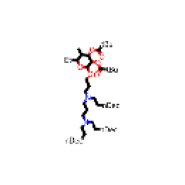 CCCCCCCCCCCCN(CCCCCCCCCCCC)CCCN(CCCCCCCCCCCC)CCCOC1OC(CC)C(C)C(OC(=O)C(C)(C)C)C1OC(=O)C(C)(C)C